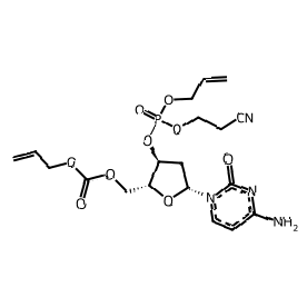 C=CCOC(=O)OC[C@H]1O[C@@H](n2ccc(N)nc2=O)C[C@@H]1OP(=O)(OCC=C)OCCC#N